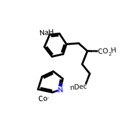 CCCCCCCCCCCCC(Cc1ccccc1)C(=O)O.[Co].[NaH].c1ccncc1